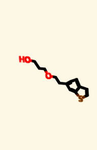 OCCCOCCc1ccc2ccsc2c1